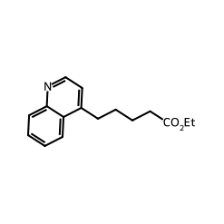 CCOC(=O)CCCCc1ccnc2ccccc12